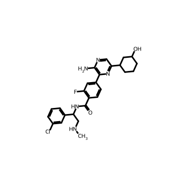 CNCC(NC(=O)c1ccc(-c2nc(C3CCCC(O)C3)cnc2N)cc1F)c1cccc(Cl)c1